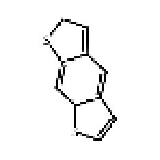 C1=CC2=CC3=CCSC3=CC2S1